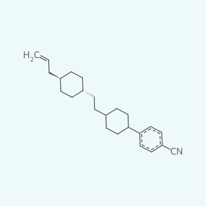 C=CC[C@H]1CC[C@H](CCC2CCC(c3ccc(C#N)cc3)CC2)CC1